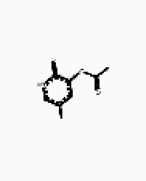 CC(=O)Oc1cc(I)c[nH]c1=O